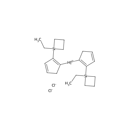 CC[Si]1(C2=[C]([Hf+2][C]3=C([Si]4(CC)CCC4)C=CC3)CC=C2)CCC1.[Cl-].[Cl-]